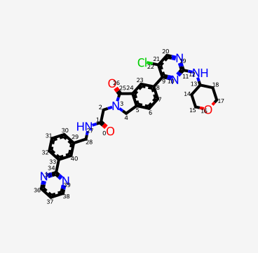 O=C(CN1Cc2ccc(-c3nc(NC4CCOCC4)ncc3Cl)cc2C1=O)NCc1cccc(-c2ncccn2)c1